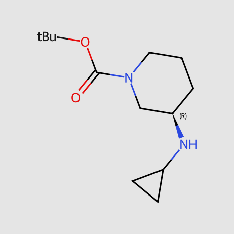 CC(C)(C)OC(=O)N1CCC[C@@H](NC2CC2)C1